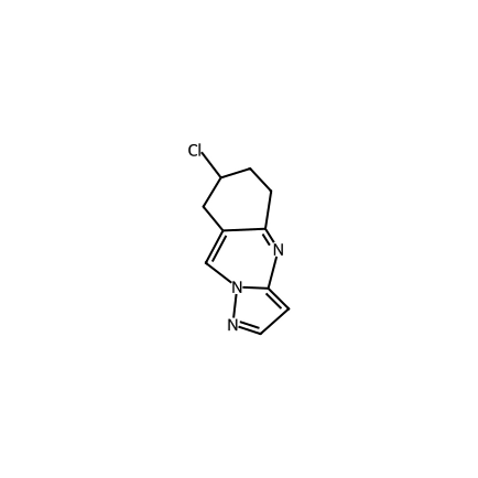 ClC1CCc2nc3ccnn3cc2C1